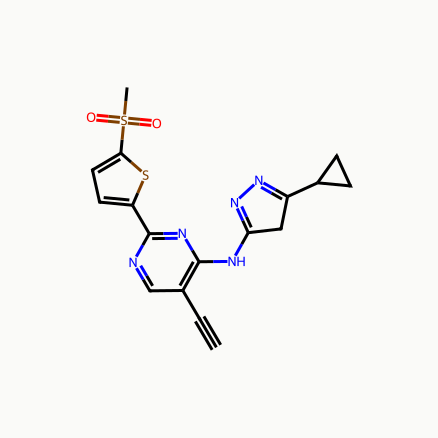 C#Cc1cnc(-c2ccc(S(C)(=O)=O)s2)nc1NC1=NN=C(C2CC2)C1